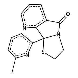 Cc1cccc(C23SCCN2C(=O)c2cccnc23)n1